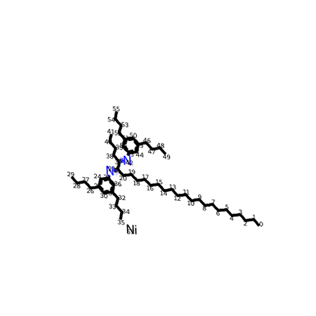 CCCCCCCCCCCCCCCCCCCCCC(=N\c1cc(CCCC)cc(CCCC)c1)/C(CCCC)=N/c1cc(CCCC)cc(CCCC)c1.[Ni]